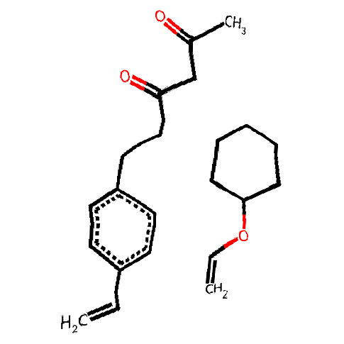 C=COC1CCCCC1.C=Cc1ccc(CCC(=O)CC(C)=O)cc1